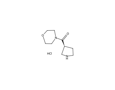 Cl.O=C([C@H]1CCNC1)N1CCOCC1